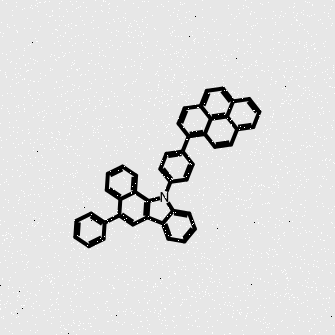 c1ccc(-c2cc3c4ccccc4n(-c4ccc(-c5ccc6ccc7cccc8ccc5c6c78)cc4)c3c3ccccc23)cc1